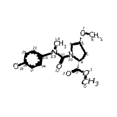 COC(=O)[C@H]1C[C@@H](OC)CN1C(=O)N(C)c1ccc(Cl)cc1